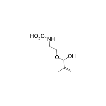 C=C(C)C(O)OCCNC(=O)O